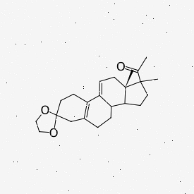 CC(=O)C1(C)CCC2C3CCC4=C(CCC5(C4)OCCO5)C3=CC[C@@]21C